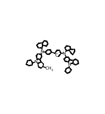 CC1C=Cc2c(c3cc(N(c4ccc(-c5ccc(N(c6ccc7c(c6)c6ccccc6n7-c6ccccc6)c6cccc7ccccc67)cc5)cc4)c4cccc5ccccc45)ccc3n2-c2ccccc2)C1